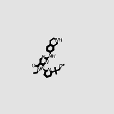 CCn1c(=O)c2cnc(Nc3ccc4c(c3)CNCC4)nc2n1-c1cccc(C(C)(C)COC)n1